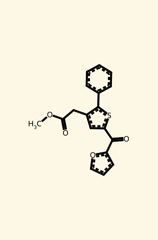 COC(=O)Cc1cc(C(=O)c2ccco2)sc1-c1ccccc1